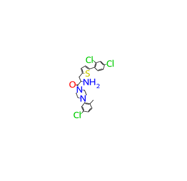 Cc1ccc(Cl)cc1N1CCN(C(=O)C(N)Cc2ccc(-c3ccc(Cl)cc3Cl)s2)CC1